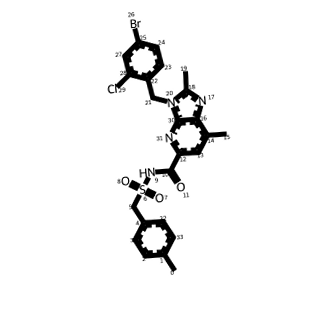 Cc1ccc(CS(=O)(=O)NC(=O)c2cc(C)c3nc(C)n(Cc4ccc(Br)cc4Cl)c3n2)cc1